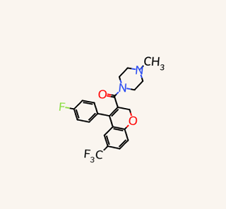 CN1CCN(C(=O)C2=C(c3ccc(F)cc3)c3cc(C(F)(F)F)ccc3OC2)CC1